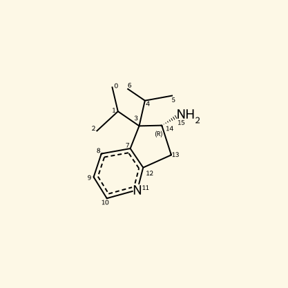 CC(C)C1(C(C)C)c2cccnc2C[C@H]1N